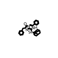 O=c1c(Cc2ccccc2)nc2c([Se]C3C4CC5CC(C4)CC3C5)[nH]c(-c3ccccc3)cn1-2